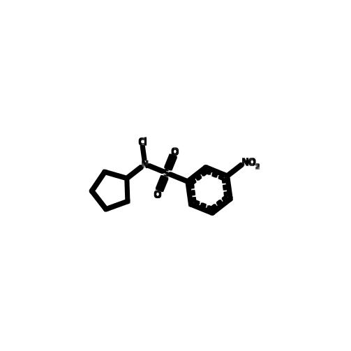 O=[N+]([O-])c1cccc(S(=O)(=O)N(Cl)C2CCCC2)c1